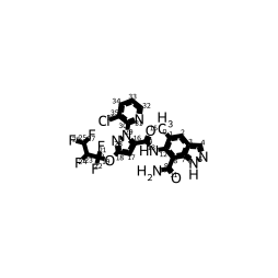 Cc1cc2cn[nH]c2c(C(N)=O)c1NC(=O)c1cc(OC(F)(F)C(F)C(F)F)nn1-c1ncccc1Cl